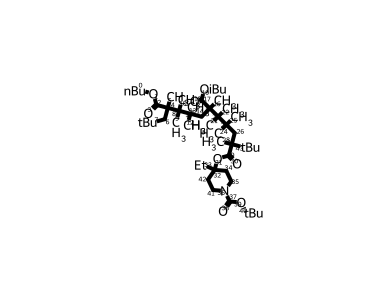 CCCCOC(=O)C(C)(CC(C)(C)C)C(C)(C)C(C)(C)CC(C)(C(=O)OCC(C)C)C(C)(C)C(C)(C)CC(C)(C(=O)OC1(CC)CCN(C(=O)OC(C)(C)C)CC1)C(C)(C)C